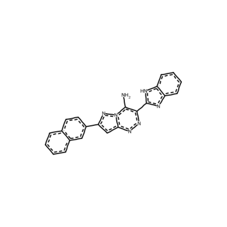 Nc1c(-c2nc3ccccc3[nH]2)nnc2cc(-c3ccc4ccccc4c3)nn12